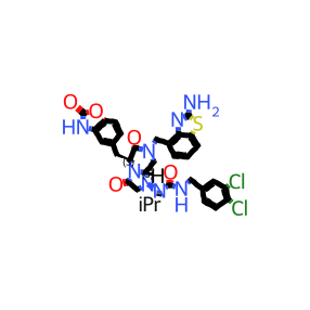 CC(C)N(C(=O)NCc1ccc(Cl)c(Cl)c1)N1CC(=O)N2[C@@H](Cc3ccc4oc(=O)[nH]c4c3)C(=O)N(Cc3cccc4sc(N)nc34)C[C@@H]21